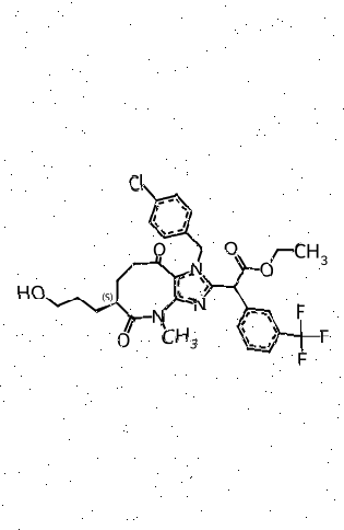 CCOC(=O)C(c1cccc(C(F)(F)F)c1)c1nc2c(n1Cc1ccc(Cl)cc1)C(=O)CC[C@H](CCCO)C(=O)N2C